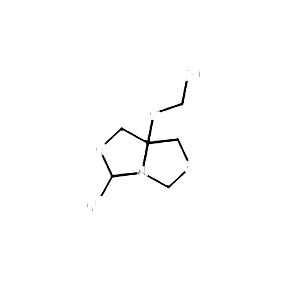 CC1OCC2(OCO)COCN12